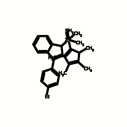 CCc1ccc(C2=C[CH]([Zr]([CH3])([CH3])(=[SiH2])[C]3=C(C)C(C)=C(C)C3C)c3ccccc32)cc1